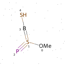 COS(#P)=BS